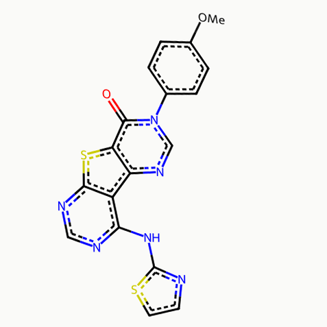 COc1ccc(-n2cnc3c(sc4ncnc(Nc5nccs5)c43)c2=O)cc1